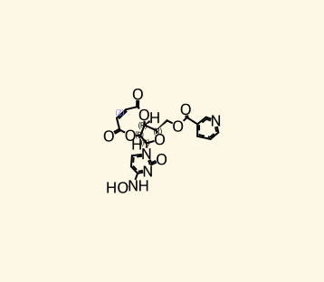 O=C1/C=C\C(=O)O[C@H]2[C@@H](O1)[C@H](n1ccc(NO)nc1=O)O[C@@H]2COC(=O)c1cccnc1